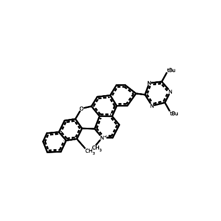 Cc1c2c(cc3ccccc13)Oc1cc3ccc(-c4nc(C(C)(C)C)nc(C(C)(C)C)n4)cc3c3cc[n+](C)c-2c13